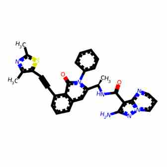 Cc1nc(C)c(C#Cc2cccc3cc([C@@H](C)NC(=O)c4c(N)nn5cccnc45)n(-c4ccccc4)c(=O)c23)s1